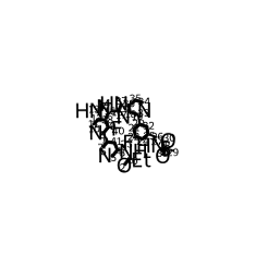 CCC(=O)Nc1cncc(-c2ncc3[nH]nc(-c4nc5c(-c6cc(F)cc(CNS(C)(=O)=O)c6)nccc5[nH]4)c3c2F)c1